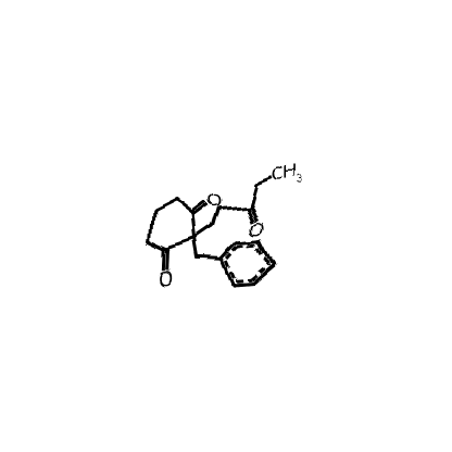 CCC(=O)CCC1(Cc2ccccc2)C(=O)CCCC1=O